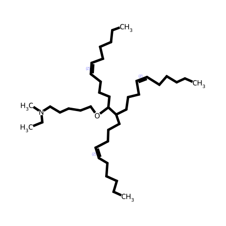 CCCCC/C=C\CCCC(CCC/C=C\CCCCC)C(CCC/C=C\CCCCC)OCCCCCN(C)CC